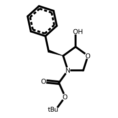 CC(C)(C)OC(=O)N1COC(O)[C@@H]1Cc1ccccc1